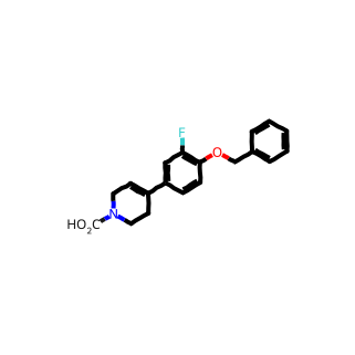 O=C(O)N1CC=C(c2ccc(OCc3ccccc3)c(F)c2)CC1